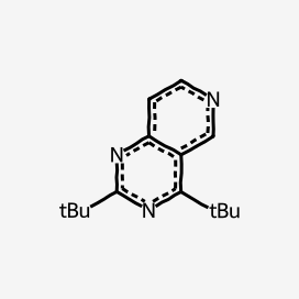 CC(C)(C)c1nc(C(C)(C)C)c2cnccc2n1